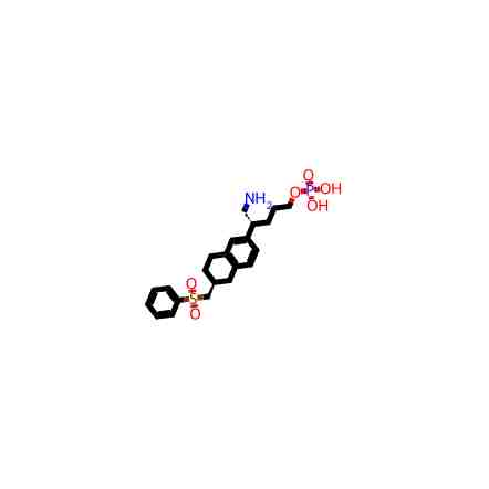 NC[C@H](CCCOP(=O)(O)O)c1ccc2c(c1)CC[C@H](CS(=O)(=O)c1ccccc1)C2